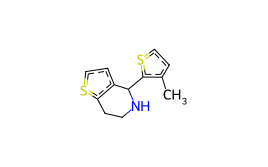 Cc1ccsc1C1NCCc2sccc21